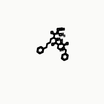 CON(C)C(=O)C(CCCCc1ccccc1)NC(=O)C(CC(C)C)NC(=O)OCc1ccccc1